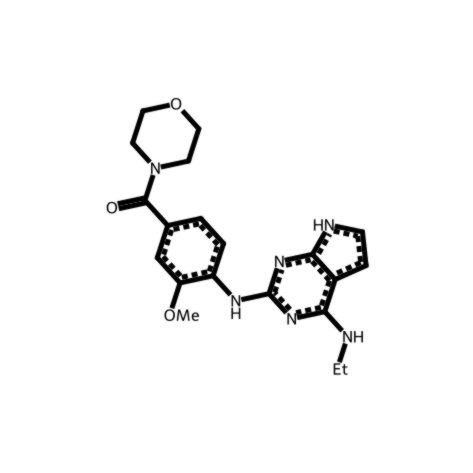 CCNc1nc(Nc2ccc(C(=O)N3CCOCC3)cc2OC)nc2[nH]ccc12